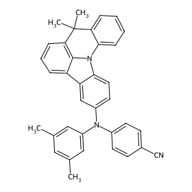 Cc1cc(C)cc(N(c2ccc(C#N)cc2)c2ccc3c(c2)c2cccc4c2n3-c2ccccc2C4(C)C)c1